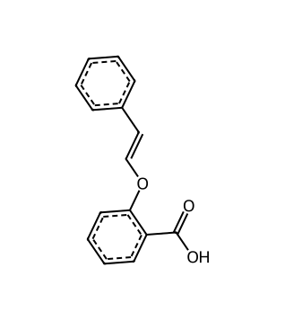 O=C(O)c1ccccc1OC=Cc1ccccc1